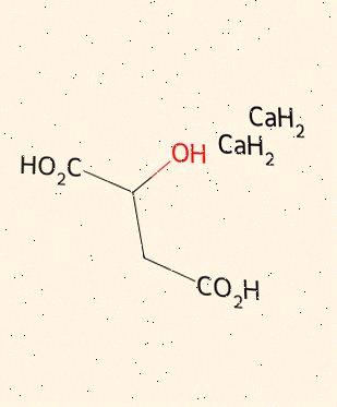 O=C(O)CC(O)C(=O)O.[CaH2].[CaH2]